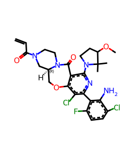 C=CC(=O)N1CCN2C(=O)c3c(N4CCC(OC)C4(C)C)nc(-c4c(F)ccc(Cl)c4N)c(Cl)c3OC[C@H]2C1